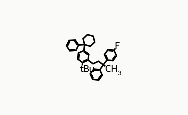 CC(C)(C)c1ccc(C2(c3ccccc3)CCCCC2)cc1CCC(C)(c1ccccc1)c1ccc(F)cc1